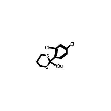 CC(C)(C)C1(c2ccc(Cl)cc2Cl)SCCCS1